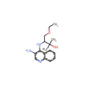 CCOCC(Nc1c(N)cnc2ccccc12)C(C)(C)O